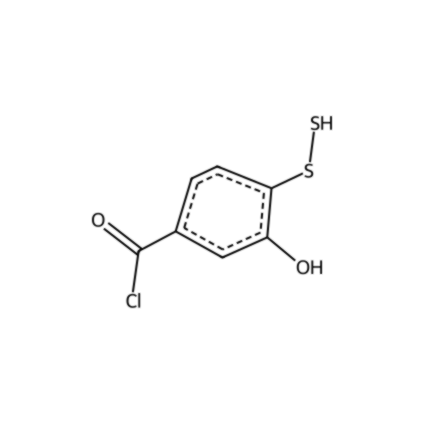 O=C(Cl)c1ccc(SS)c(O)c1